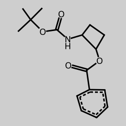 CC(C)(C)OC(=O)NC1CCC1OC(=O)c1ccccc1